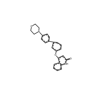 O=c1cc(Oc2cccc(-c3ccc(N4CCOCC4)cc3)c2)c2ccccc2[nH]1